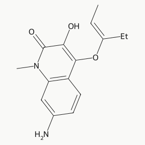 CC=C(CC)Oc1c(O)c(=O)n(C)c2cc(N)ccc12